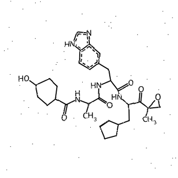 CC(NC(=O)C1CCC(O)CC1)C(=O)NC(Cc1ccc2[nH]cnc2c1)C(=O)NC(CC1CCCC1)C(=O)C1(C)CO1